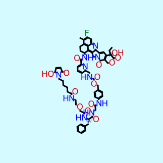 CC[C@@]1(O)C(=O)OCc2c1cc1n(c2=O)Cc2c-1nc1cc(F)c(C)c3c1c2[C@@H](NC(=O)c1cccc(CNC(=O)OCc2ccc(NC(=O)CNC(=O)[C@H](Cc4ccccc4)NC(=O)COCCNC(=O)CCCCCN4C(=O)C=CC4O)cc2)n1)CC3